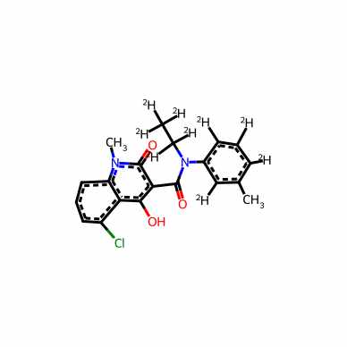 [2H]c1c([2H])c(C)c([2H])c(N(C(=O)c2c(O)c3c(Cl)cccc3n(C)c2=O)C([2H])([2H])C([2H])([2H])[2H])c1[2H]